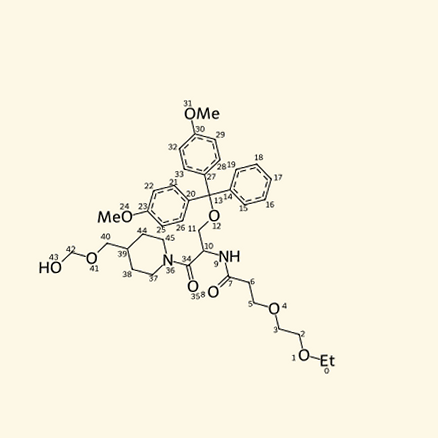 CCOCCOCCC(=O)NC(COC(c1ccccc1)(c1ccc(OC)cc1)c1ccc(OC)cc1)C(=O)N1CCC(COCO)CC1